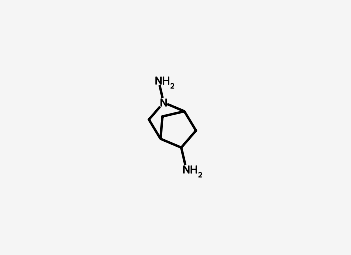 NC1CC2CC1CN2N